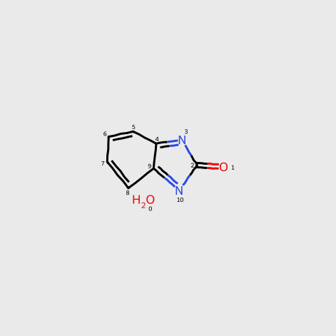 O.O=C1N=c2ccccc2=N1